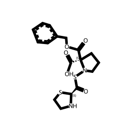 O=C(SN1CCC[C@]1(C(=O)O)C(=O)OCc1ccccc1)[C@H]1NCCS1